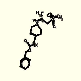 C[C@H](CS(C)(=O)=O)NC1CCC(NC(=O)OCc2ccccc2)CC1